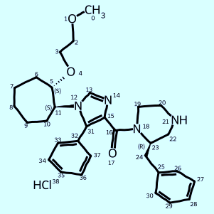 COCCO[C@H]1CCCCC[C@@H]1n1cnc(C(=O)N2CCNC[C@H]2Cc2ccccc2)c1-c1ccccc1.Cl